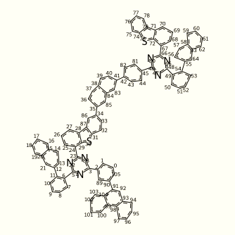 c1cc(-c2nc(-c3ccccc3-c3ccc4ccccc4c3)nc(-c3cccc4c3sc3ccc(-c5ccc6ccc(-c7ccc(-c8nc(-c9ccccc9-c9ccc%10ccccc%10c9)nc(-c9cccc%10c9sc9ccccc9%10)n8)cc7)cc6c5)cc34)n2)cc(-c2cc3ccccc3c3ccccc23)c1